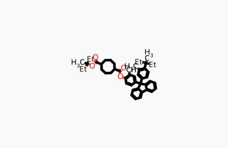 CCC(C)(CC)OC(=O)C1CCCC(C(=O)Oc2ccc(C3(c4ccc(C(C)(CC)CC)c(C)c4)c4ccccc4-c4ccccc43)cc2C)CCC1